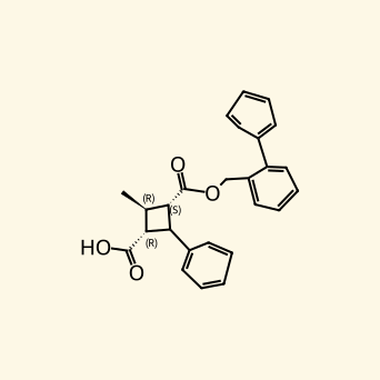 C[C@H]1[C@H](C(=O)OCc2ccccc2-c2ccccc2)C(c2ccccc2)[C@@H]1C(=O)O